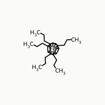 CCC[C]12[CH]3[C]4(CCC)[C]5(CCC)[CH]1[Fe]32451678[CH]2[CH]1[C]6(CCC)[C]7(CCC)[CH]28